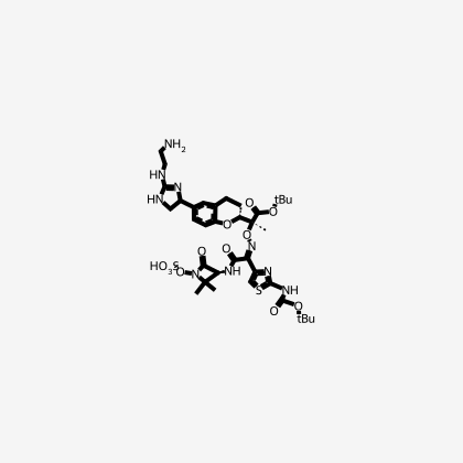 CC(C)(C)OC(=O)Nc1nc(/C(=N/O[C@](C)(C(=O)OC(C)(C)C)[C@H]2CCc3cc(C4CNC(NCCN)=N4)ccc3O2)C(=O)N[C@@H]2C(=O)N(OS(=O)(=O)O)C2(C)C)cs1